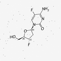 Nc1nc(=O)n([C@H]2C[C@H](F)[C@@H](CO)O2)cc1F